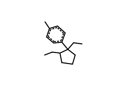 CCC1CCCC1(CC)c1ccc(C)cc1